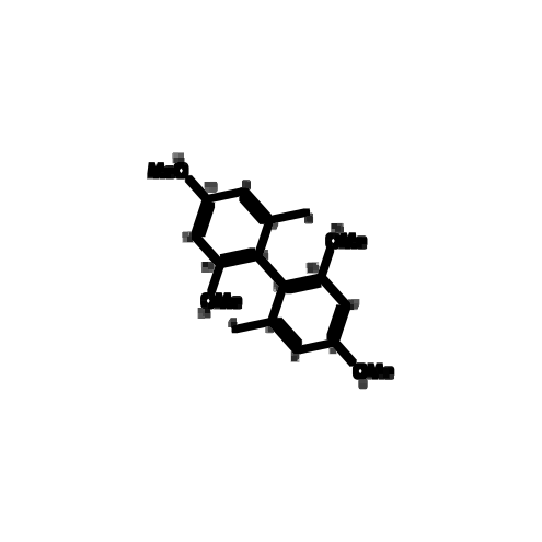 COc1cc(C)c(-c2c(C)cc(OC)cc2OC)c(OC)c1